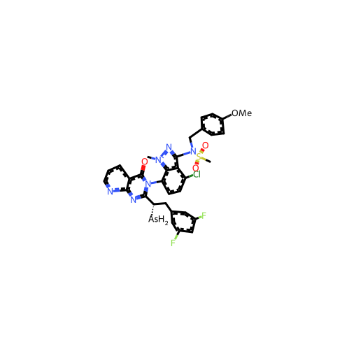 COc1ccc(CN(c2nn(C)c3c(-n4c([C@@H]([AsH2])Cc5cc(F)cc(F)c5)nc5ncccc5c4=O)ccc(Cl)c23)S(C)(=O)=O)cc1